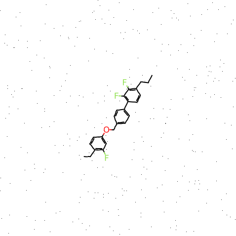 CCCc1ccc(-c2ccc(COc3ccc(CC)c(F)c3)cc2)c(F)c1F